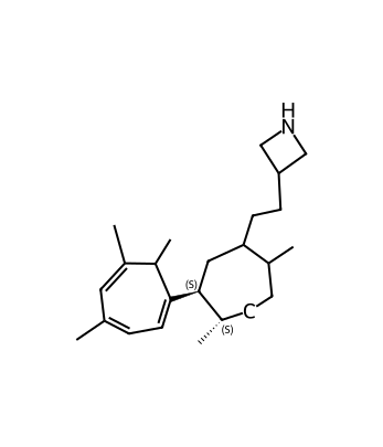 CC1=CC=C([C@H]2CC(CCC3CNC3)C(C)CC[C@@H]2C)C(C)C(C)=C1